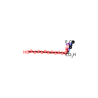 O=C(O)C(C[C@H]1CN(c2ccc3cc(-c4ccccc4C(F)(F)F)[nH]c(=O)c3c2)C(=O)O1)OCCOCCOCCOCCOCCOCCOCCOCCOCCOCCOCCO